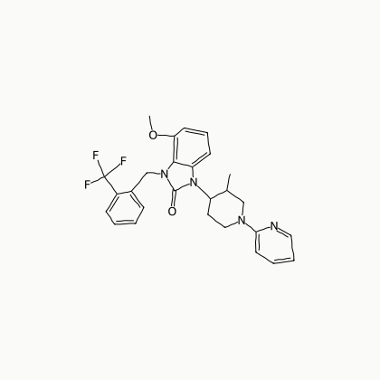 COc1cccc2c1n(Cc1ccccc1C(F)(F)F)c(=O)n2C1CCN(c2ccccn2)CC1C